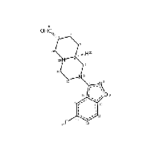 O=C[C@@H]1CC[C@H]2CN(c3noc4ccc(F)cc34)CCN2C1